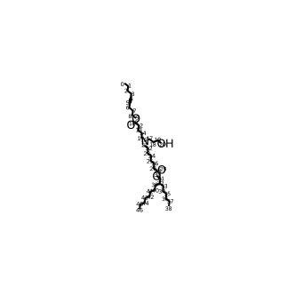 CCCCC#CCCCOC(=O)CCCCN(CCCO)CCCCCCCC(=O)OCC(CCCCCC)CCCCCCCC